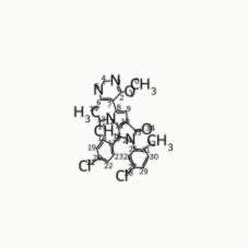 COc1ncncc1-c1cc2c(n1C(C)C)C(c1ccc(Cl)cc1)N(c1cc(Cl)ccc1C)C2=O